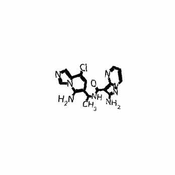 CC(NC(=O)c1c(N)nn2cccnc12)c1cc(Cl)c2cncn2c1N